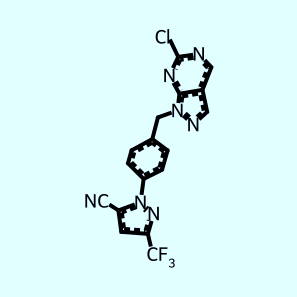 N#Cc1cc(C(F)(F)F)nn1-c1ccc(Cn2ncc3cnc(Cl)nc32)cc1